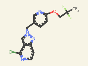 FC(F)(F)C(F)(F)COc1ccc(Cn2cc3c(Cl)nccc3n2)cn1